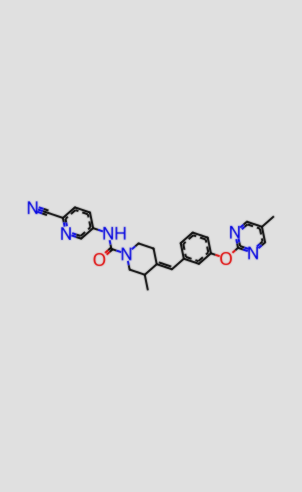 Cc1cnc(Oc2cccc(C=C3CCN(C(=O)Nc4ccc(C#N)nc4)CC3C)c2)nc1